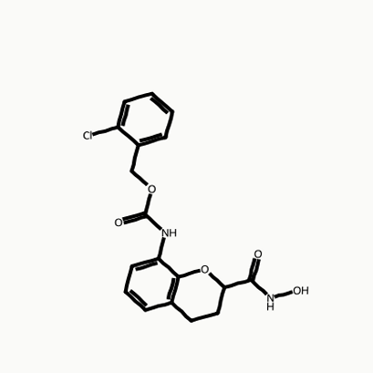 O=C(Nc1cccc2c1OC(C(=O)NO)CC2)OCc1ccccc1Cl